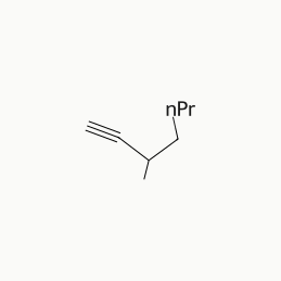 C#CC(C)CC[CH]C